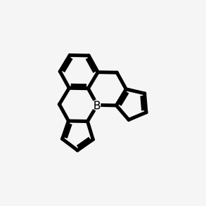 C1=CC2B3C4=C(C=CC4)Cc4cccc(c43)CC2=C1